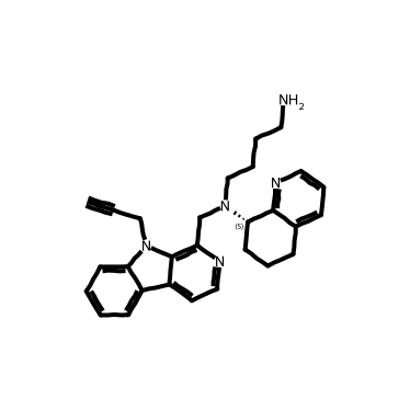 C#CCn1c2ccccc2c2ccnc(CN(CCCCN)[C@H]3CCCc4cccnc43)c21